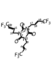 O=c1n(C/C=C/C(F)(F)F)c(=O)n(C/C=C/C(F)(F)F)c(=O)n1C/C=C/C(F)(F)F